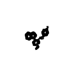 CCN1CC[C@H](N2CCc3ccccc32)[C@H](COc2ccc(F)cc2)C1